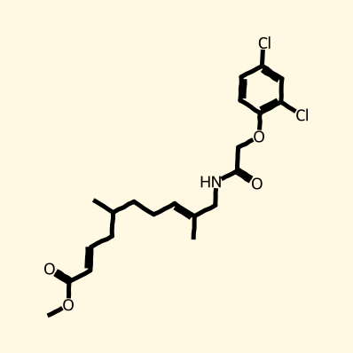 COC(=O)C=CCC(C)CCC=C(C)CNC(=O)COc1ccc(Cl)cc1Cl